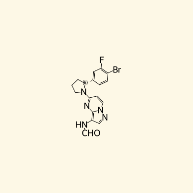 O=CNc1cnn2ccc(N3CCC[C@@H]3c3ccc(Br)c(F)c3)nc12